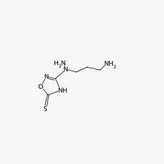 NCCCN(N)c1noc(=S)[nH]1